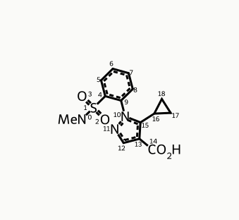 CNS(=O)(=O)c1ccccc1-n1ncc(C(=O)O)c1C1CC1